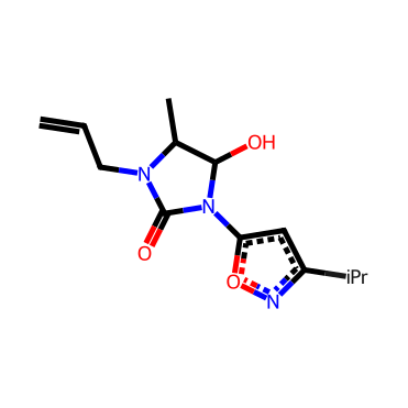 C=CCN1C(=O)N(c2cc(C(C)C)no2)C(O)C1C